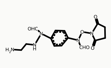 NCCNN(C=O)c1ccc(N(C=O)ON2C(=O)CCC2=O)cc1